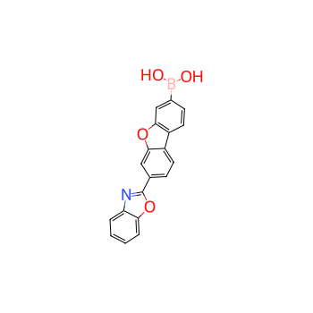 OB(O)c1ccc2c(c1)oc1cc(-c3nc4ccccc4o3)ccc12